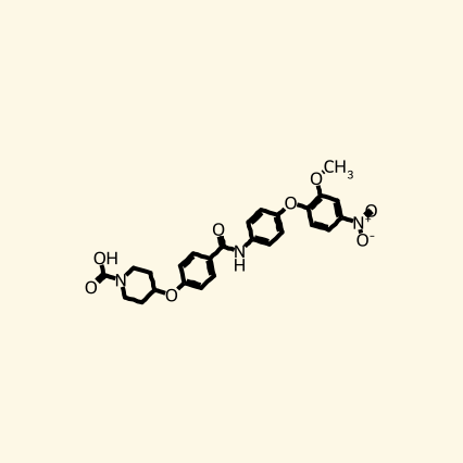 COc1cc([N+](=O)[O-])ccc1Oc1ccc(NC(=O)c2ccc(OC3CCN(C(=O)O)CC3)cc2)cc1